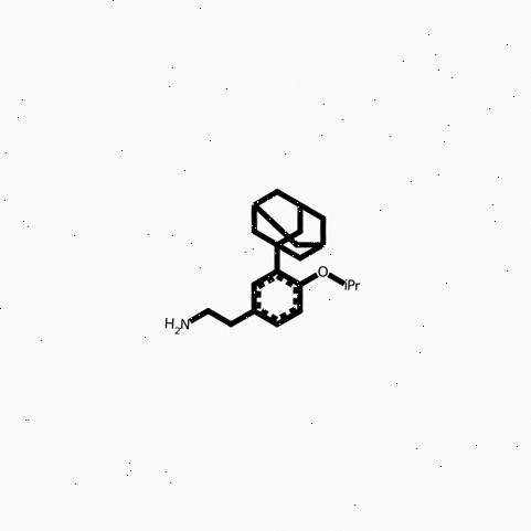 CC(C)Oc1ccc(CCN)cc1C12CC3CC(CC(C3)C1)C2